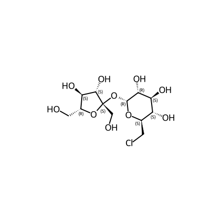 OC[C@H]1O[C@@](CO)(O[C@H]2O[C@H](CCl)[C@@H](O)[C@H](O)[C@H]2O)[C@@H](O)[C@@H]1O